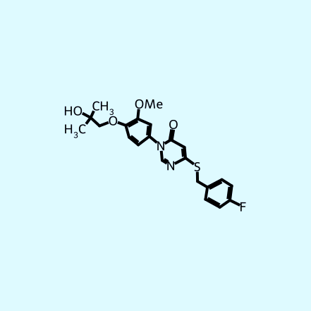 COc1cc(-n2cnc(SCc3ccc(F)cc3)cc2=O)ccc1OCC(C)(C)O